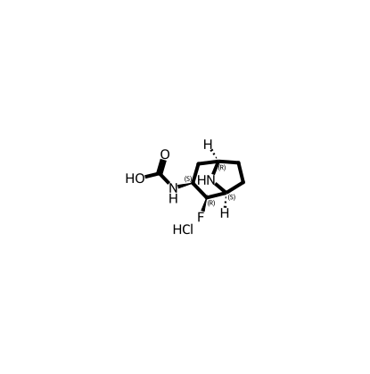 Cl.O=C(O)N[C@H]1C[C@H]2CC[C@H](N2)[C@H]1F